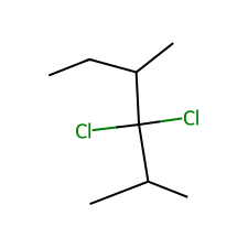 CCC(C)C(Cl)(Cl)C(C)C